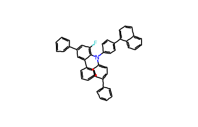 Fc1cc(-c2ccccc2)cc(-c2ccccc2)c1N(c1ccc(-c2ccccc2)cc1)c1ccc(-c2cccc3ccccc23)cc1